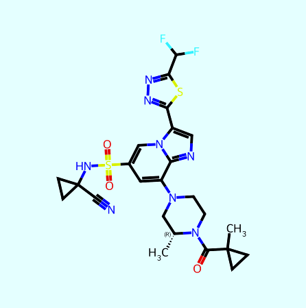 C[C@@H]1CN(c2cc(S(=O)(=O)NC3(C#N)CC3)cn3c(-c4nnc(C(F)F)s4)cnc23)CCN1C(=O)C1(C)CC1